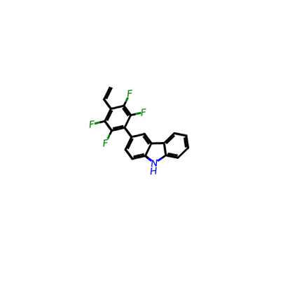 C=Cc1c(F)c(F)c(-c2ccc3[nH]c4ccccc4c3c2)c(F)c1F